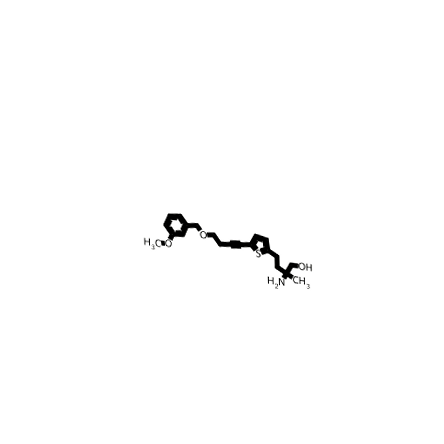 COc1cccc(COCCC#Cc2ccc(CCC(C)(N)CO)s2)c1